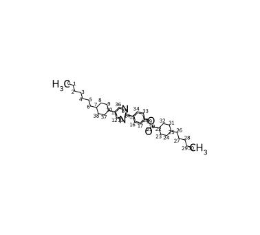 CCCCCCCC1CCC(c2cnc(-c3ccc(OC(=O)C4CCC(CCCCC)CC4)cc3)nc2)CC1